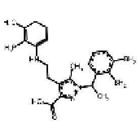 Bc1cccc(C(C)n2nc(C(=O)O)c(CCNC3=CCCC(C)=C3P)c2C)c1B